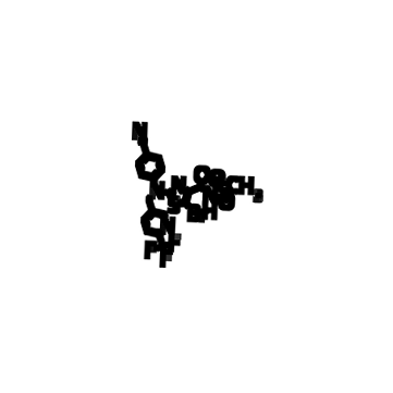 CS(=O)(=O)NC(=O)c1nc(N(Cc2ccc(C(F)(F)F)nc2)c2ccc(C#N)cc2)sc1Br